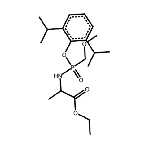 CCOC(=O)C(C)NP(=O)(COC)Oc1c(C(C)C)cccc1C(C)C